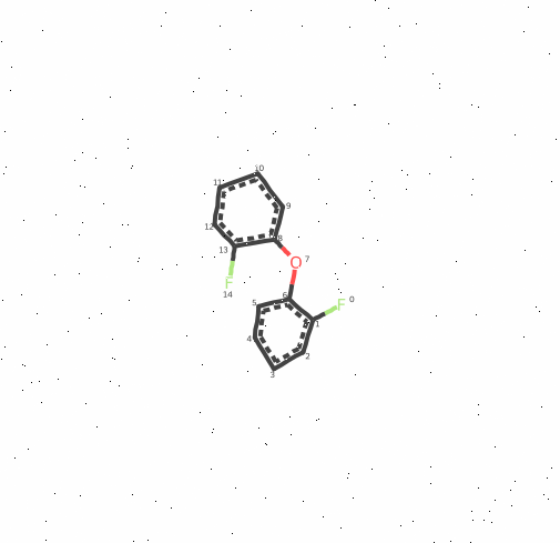 Fc1cc[c]cc1Oc1ccccc1F